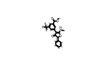 CNC1=C(c2cc(C(=O)OC)cc(C(F)(F)F)c2)C(=O)C(c2ccccc2)O1